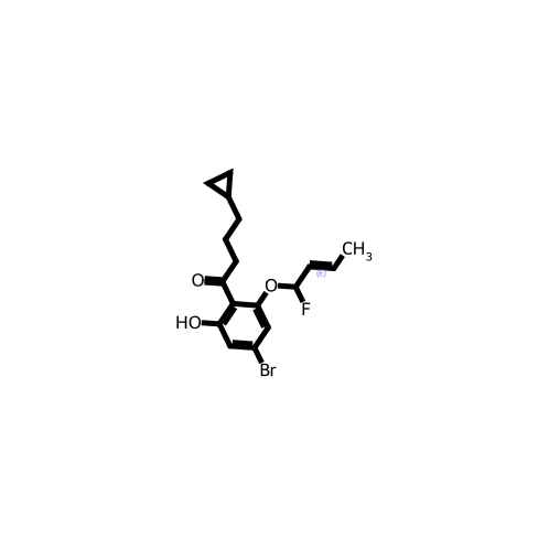 C/C=C/C(F)Oc1cc(Br)cc(O)c1C(=O)CCCC1CC1